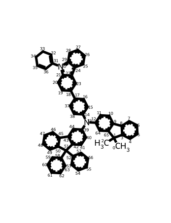 CC1(C)c2ccccc2-c2ccc(N(c3ccc(-c4ccc5c(c4)c4ccccc4n5C4=CCCC=C4)cc3)c3ccc4c(c3)-c3ccccc3C4(c3ccccc3)c3ccccc3)cc21